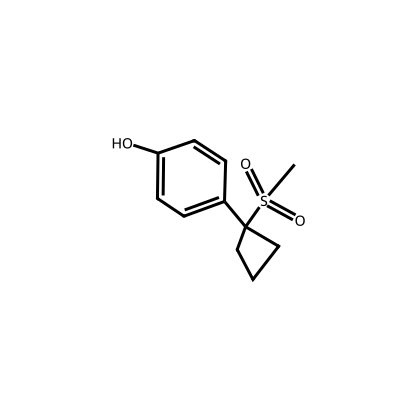 CS(=O)(=O)C1(c2ccc(O)cc2)CCC1